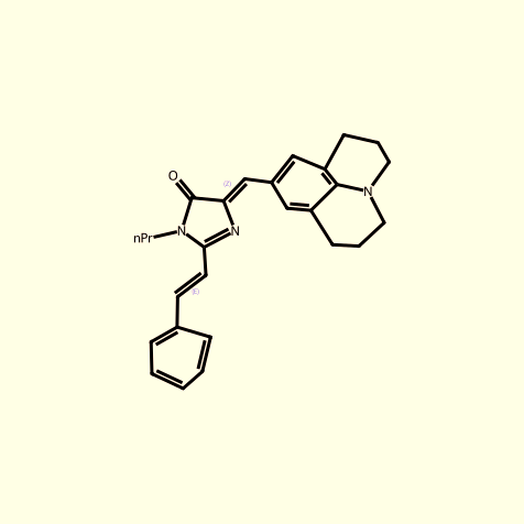 CCCN1C(=O)/C(=C/c2cc3c4c(c2)CCCN4CCC3)N=C1/C=C/c1ccccc1